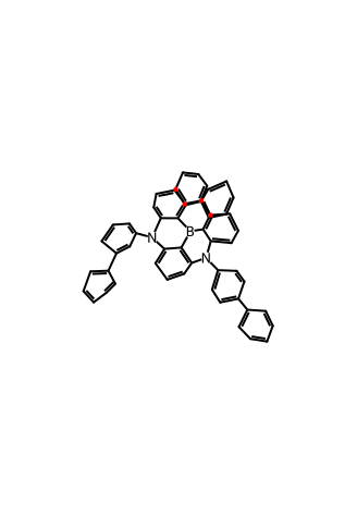 c1ccc(-c2ccc(N3c4cccc(-c5ccccc5)c4B4c5c(-c6ccccc6)cccc5N(c5cccc(-c6ccccc6)c5)c5cccc3c54)cc2)cc1